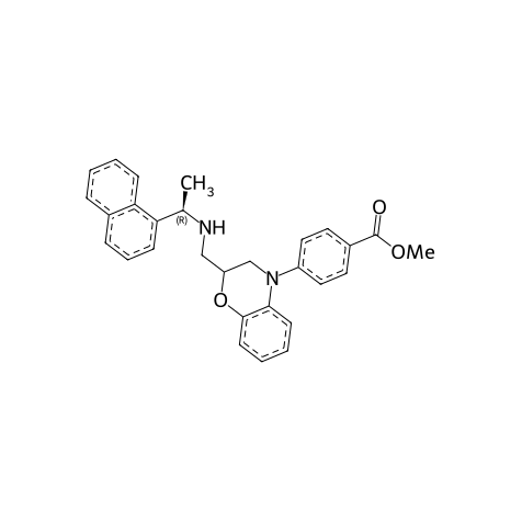 COC(=O)c1ccc(N2CC(CN[C@H](C)c3cccc4ccccc34)Oc3ccccc32)cc1